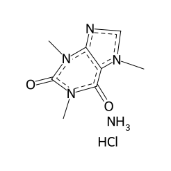 Cl.Cn1c(=O)c2c(ncn2C)n(C)c1=O.N